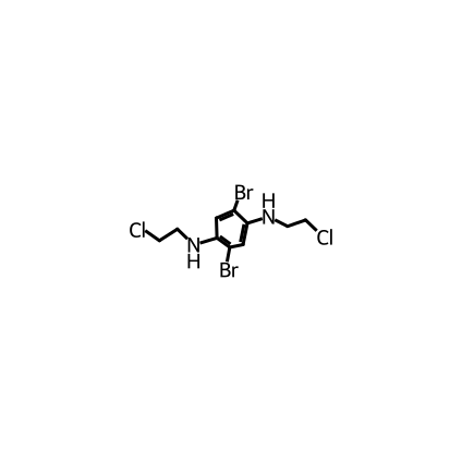 ClCCNc1cc(Br)c(NCCCl)cc1Br